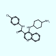 NC1CCC(Nc2c(C(=O)Nc3ccc(Cl)cc3)cnc3ccccc23)CC1